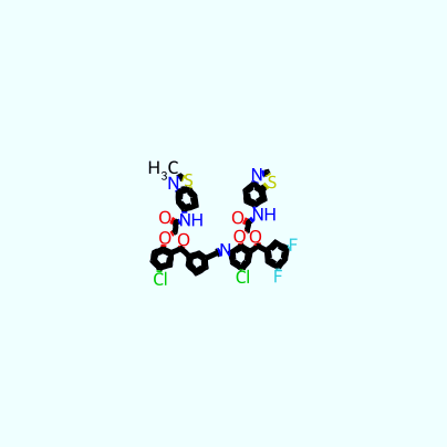 Cc1nc2cc(NC(=O)COc3ccc(Cl)cc3C(=O)c3cccc(C#N)c3)ccc2s1.O=C(COc1ccc(Cl)cc1C(=O)c1cc(F)cc(F)c1)Nc1ccc2ncsc2c1